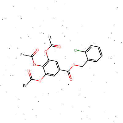 CCC(=O)Oc1cc(C(=O)OCc2ccccc2Cl)cc(OC(=O)CC)c1OC(=O)CC